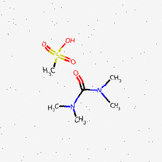 CN(C)C(=O)N(C)C.CS(=O)(=O)O